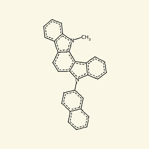 Cn1c2ccccc2c2ccc3c(c4ccccc4n3-c3ccc4ccccc4c3)c21